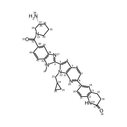 Cn1c(-c2cc3ccc(-c4ccc5c(c4)CCC(=O)N5)nc3n2CC2CC2)nc2cc(C(=O)N3CCC[C@@H](N)C3)ccc21